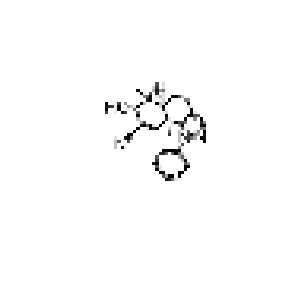 CC1(C)C(O)C(C#N)=C[C@]2(C)c3c(cnn3-c3ccccc3)CC[C@@H]12